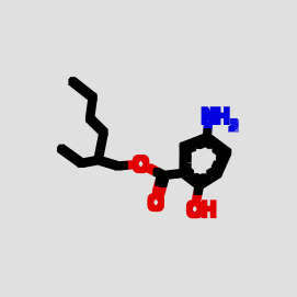 CCCCC(CC)COC(=O)c1cc(N)ccc1O